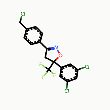 FC(F)(F)C1(c2cc(Cl)cc(Cl)c2)CC(c2ccc(CCl)cc2)=NO1